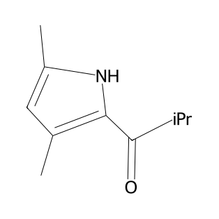 Cc1cc(C)c(C(=O)C(C)C)[nH]1